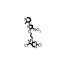 Cc1ncccc1-n1cc([N+](=O)[O-])c(OCCCn2nc(Cl)c3cnc(Cl)nc32)n1